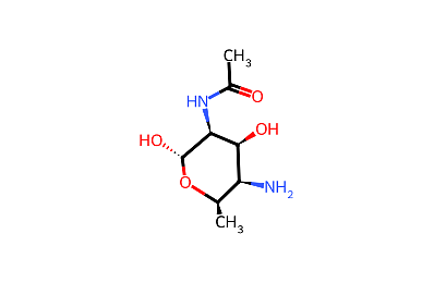 CC(=O)N[C@H]1[C@@H](O)[C@@H](N)[C@@H](C)O[C@@H]1O